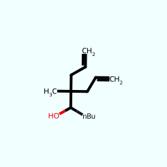 C=CCC(C)(CC=C)C(O)CCCC